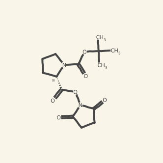 CC(C)(C)OC(=O)N1CCC[C@H]1C(=O)ON1C(=O)CCC1=O